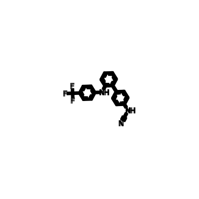 N#CNc1ccc(-c2ccccc2Nc2ccc(C(F)(F)F)cc2)cc1